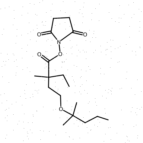 CCCC(C)(C)OCCC(C)(CC)C(=O)ON1C(=O)CCC1=O